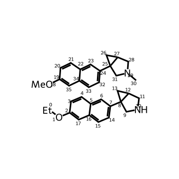 CCOc1ccc2cc(C34CNCC3C4)ccc2c1.COc1ccc2cc(C34CC3CN(C)C4)ccc2c1